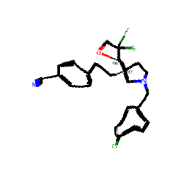 N#Cc1ccc(CC[C@@]2([C@H]3OCC3(F)F)CCN(Cc3ccc(Cl)cc3)C2)cc1